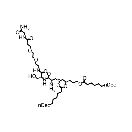 CCCCCCCCCCCCCCCC(=O)OCCC[C@H](CSC[C@H](N)C(=O)N[C@@H](CO)C(=O)NCCOCCOCCC(=O)NCC(N)=O)OC(=O)CCCCCCCCCCCCCCC